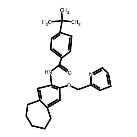 CC(C)(C)c1ccc(C(=O)Nc2cc3c(cc2OCc2ccccn2)CCCCC3)cc1